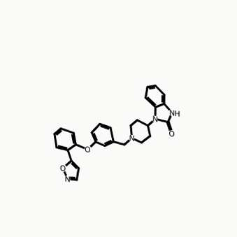 O=c1[nH]c2ccccc2n1C1CCN(Cc2cccc(Oc3ccccc3-c3ccno3)c2)CC1